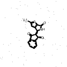 Cc1cc2c(s1)C(=O)NC2=C1C(=O)c2ccccc2C1=O